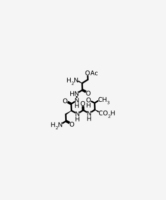 CC(=O)OC[C@H](N)C(=O)NNC(=O)[C@H](CC(N)=O)NC(=O)N[C@H](C(=O)O)C(C)O